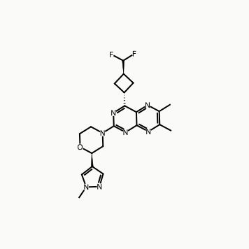 Cc1nc2nc(N3CCO[C@H](c4cnn(C)c4)C3)nc([C@H]3C[C@H](C(F)F)C3)c2nc1C